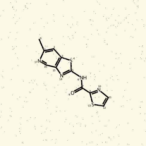 Cc1cc2sc(NC(=O)c3nccs3)nc2cn1